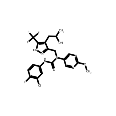 COc1ncc(N(Cc2n[nH]c(C(F)(F)F)c2CC(C)O)C(=O)Nc2ccc(F)c(Cl)c2)cn1